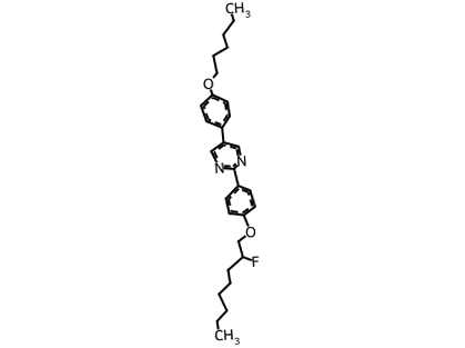 CCCCCCOc1ccc(-c2cnc(-c3ccc(OCC(F)CCCCCC)cc3)nc2)cc1